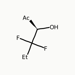 CCC(F)(F)[C@H](O)C(C)=O